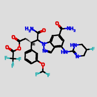 NC(=O)c1cc(NC2=NCC(F)CN2)c2cnn(C(C(N)=O)[C@@H](CC(=O)OC(=O)C(F)(F)F)c3cccc(OC(F)F)c3)c2c1